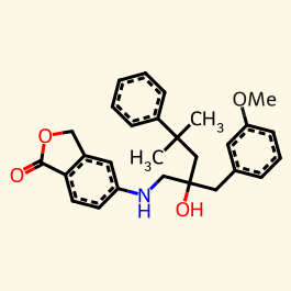 COc1cccc(CC(O)(CNc2ccc3c(c2)COC3=O)CC(C)(C)c2ccccc2)c1